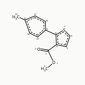 COC(=O)c1ccsc1-c1ccc(C)cc1